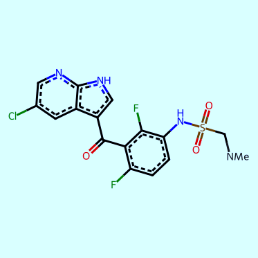 CNCS(=O)(=O)Nc1ccc(F)c(C(=O)c2c[nH]c3ncc(Cl)cc23)c1F